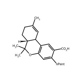 CCCCCc1cc2c(cc1C(=O)O)C1C=C(C)CC[C@H]1C(C)(C)O2